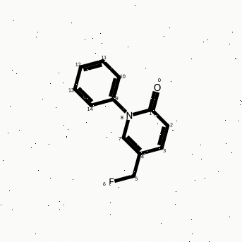 O=c1ccc(CF)cn1-c1ccccc1